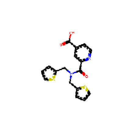 O=C(O)c1ccnc(C(=O)N(Cc2cccs2)Cc2cccs2)c1